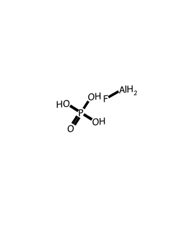 O=P(O)(O)O.[F][AlH2]